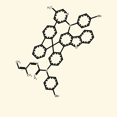 C=C(/N=C\C(C)=C/C)N(c1ccc(C(C)(C)C)cc1)c1ccc2c(c1)C1(c3ccccc3-c3ccc(F)cc31)c1cc(N(c3ccc(C(C)(C)C)cc3)c3ccc(C)cn3)c3c(oc4ccccc43)c1-2